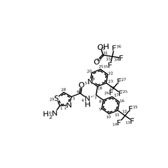 Nc1nc(C(=O)N[C@@H](c2ccc(C(F)(F)F)cc2)c2ncccc2C(F)(F)F)cs1.O=C(O)C(F)(F)F